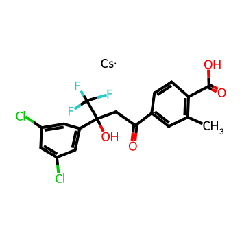 Cc1cc(C(=O)CC(O)(c2cc(Cl)cc(Cl)c2)C(F)(F)F)ccc1C(=O)O.[Cs]